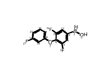 OBc1cc(F)c(Oc2cccc(F)c2)c(F)c1